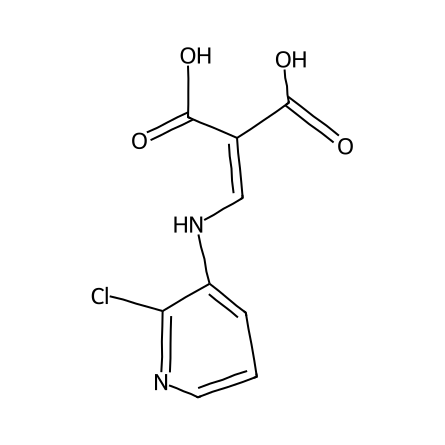 O=C(O)C(=CNc1cccnc1Cl)C(=O)O